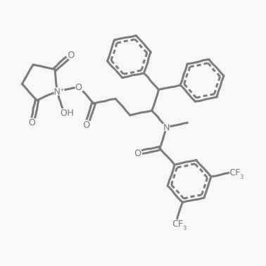 CN(C(=O)c1cc(C(F)(F)F)cc(C(F)(F)F)c1)C(CCC(=O)O[N+]1(O)C(=O)CCC1=O)C(c1ccccc1)c1ccccc1